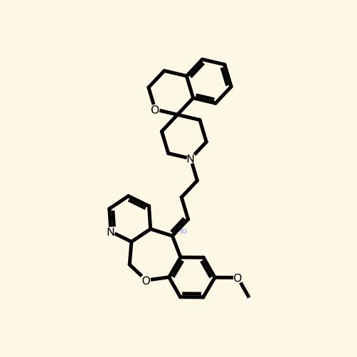 COc1ccc2c(c1)/C(=C/CCN1CCC3(CC1)OCCc1ccccc13)C1C=CC=NC1CO2